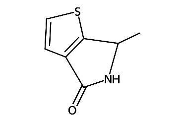 CC1NC(=O)c2ccsc21